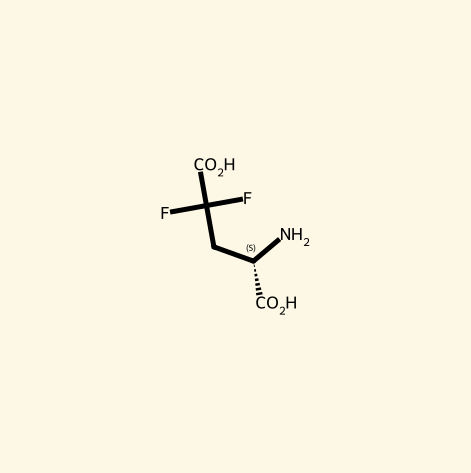 N[C@@H](CC(F)(F)C(=O)O)C(=O)O